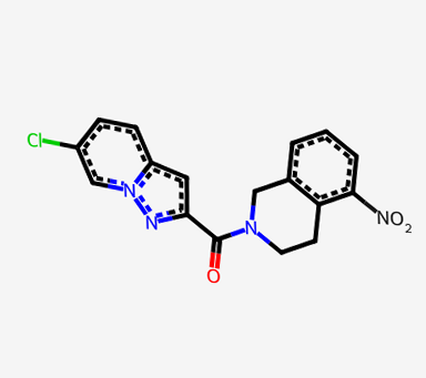 O=C(c1cc2ccc(Cl)cn2n1)N1CCc2c(cccc2[N+](=O)[O-])C1